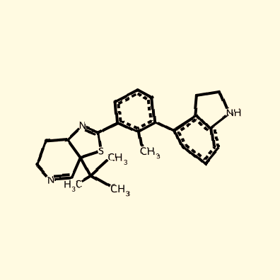 Cc1c(C2=NC3CCN=CC3(C(C)(C)C)S2)cccc1-c1cccc2c1CCN2